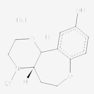 CCN1CCO[C@H]2c3cc(O)ccc3OCC[C@@H]21.Cl